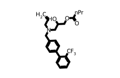 C=CCN(Cc1ccc(-c2ccccc2C(F)(F)F)cc1)CC(O)COC(=O)CCC